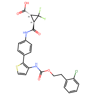 O=C(Nc1ccsc1-c1ccc(NC(=O)[C@H]2[C@H](C(=O)O)C2(F)F)cc1)OCCc1ccccc1Cl